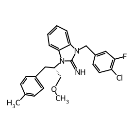 COC[C@H](Cc1ccc(C)cc1)n1c(=N)n(Cc2ccc(Cl)c(F)c2)c2ccccc21